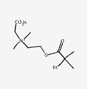 CCC(C)(C)C(=O)OCC[N+](C)(C)CC(=O)O